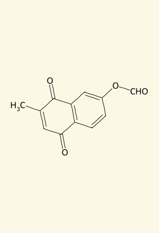 CC1=CC(=O)c2ccc(OC=O)cc2C1=O